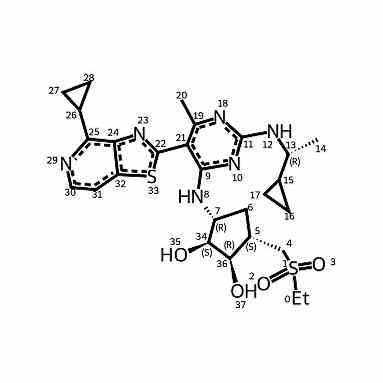 CCS(=O)(=O)C[C@H]1C[C@@H](Nc2nc(N[C@H](C)C3CC3)nc(C)c2-c2nc3c(C4CC4)nccc3s2)[C@H](O)[C@@H]1O